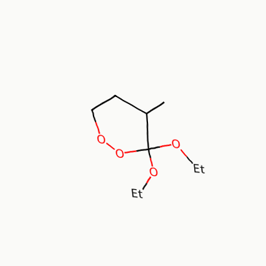 CCOC1(OCC)OOCCC1C